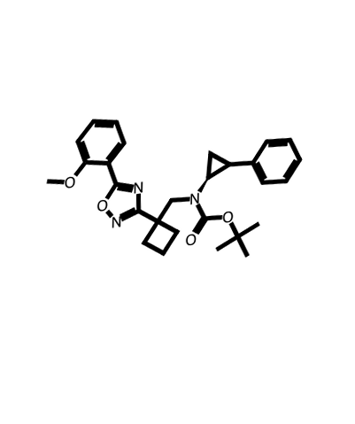 COc1ccccc1-c1nc(C2(CN(C(=O)OC(C)(C)C)[C@H]3CC3c3ccccc3)CCC2)no1